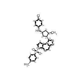 Cc1ccc(S(=O)(=O)n2ccc3c2ncc2nnc([C@H]4C[C@@H](Nc5ccc(Cl)cc5)C[C@H]4C)n23)cc1